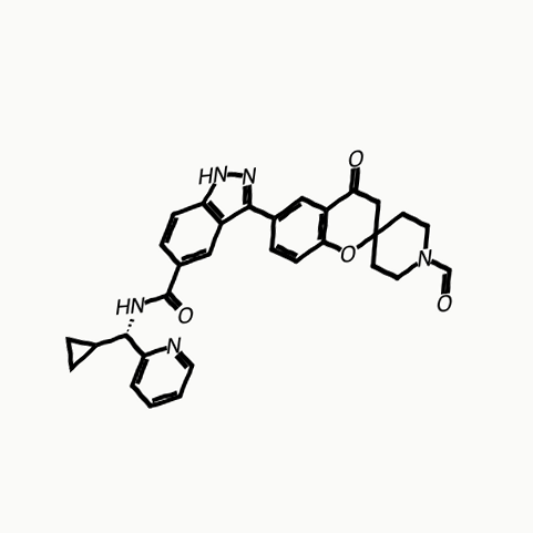 O=CN1CCC2(CC1)CC(=O)c1cc(-c3n[nH]c4ccc(C(=O)N[C@H](c5ccccn5)C5CC5)cc34)ccc1O2